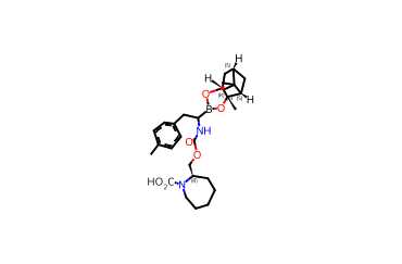 Cc1ccc(CC(NC(=O)OC[C@H]2CCCCCN2C(=O)O)B2O[C@@H]3C[C@@H]4C[C@@H](C4(C)C)[C@]3(C)O2)cc1